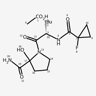 CC(=O)O.CC(C)(C)[C@H](NC(=O)C1(F)CC1)C(=O)N1CCCC1(O)C(N)=O